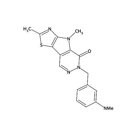 CNc1cccc(Cn2ncc3c4sc(C)nc4n(C)c3c2=O)c1